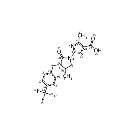 Cc1nc(N2C[C@@H](C)N(Cc3ccc(C(F)(F)F)cc3)C2=O)sc1C(=O)O